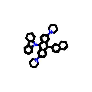 C1=Cc2ccc(-c3c4cc(N5CCCCC5)ccc4c(-n4c5c(c6ccccc64)CCC=C5)c4cc(N5CCCCC5)ccc34)cc2CC1